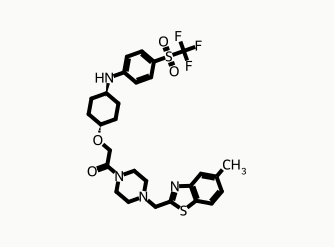 Cc1ccc2sc(CN3CCN(C(=O)CO[C@H]4CC[C@H](Nc5ccc(S(=O)(=O)C(F)(F)F)cc5)CC4)CC3)nc2c1